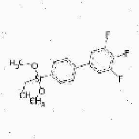 CC[Si](OC)(OC)c1ccc(-c2cc(F)c(F)c(F)c2)cc1